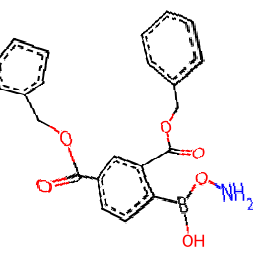 NOB(O)c1ccc(C(=O)OCc2ccccc2)cc1C(=O)OCc1ccccc1